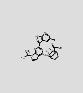 CC(C)n1ccc2c(N[C@@H]3C4CCC(CC4)[C@@H]3C(=O)O)nc(-c3n[nH]c4ncc(F)cc34)nc21